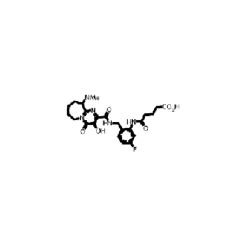 CNC1CCCCn2c1nc(C(=O)NCc1ccc(F)cc1NC(=O)CCCC(=O)O)c(O)c2=O